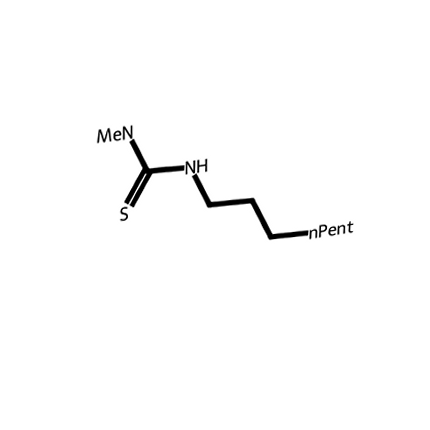 CCCCCCCCNC(=S)NC